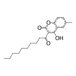 CCCCCCCCCC(=O)c1c(O)c2cc(C)ccc2oc1=O